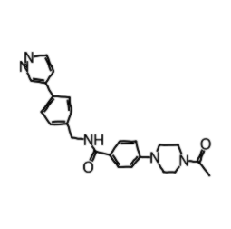 CC(=O)N1CCN(c2ccc(C(=O)NCc3ccc(-c4ccnnc4)cc3)cc2)CC1